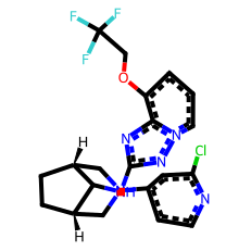 FC(F)(F)COc1cccn2nc(NC3[C@@H]4CC[C@H]3CN(c3ccnc(Cl)c3)C4)nc12